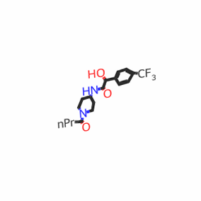 CCCC(=O)N1CCC(NC(=O)C(O)c2ccc(C(F)(F)F)cc2)CC1